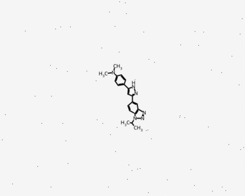 CC(C)n1nnc2cc(-c3cc(-c4ccc(N(C)C)cc4)[nH]n3)ccc21